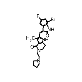 Cc1c(C=C2C(=O)Nc3c(Br)cc(F)cc32)[nH]c2c1C(=O)N(CCN1CCCC1)CC2